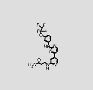 NC(=O)CCNc1cc(-c2ccnc(Nc3cccc(OC(F)(F)C(F)F)c3)n2)ccn1